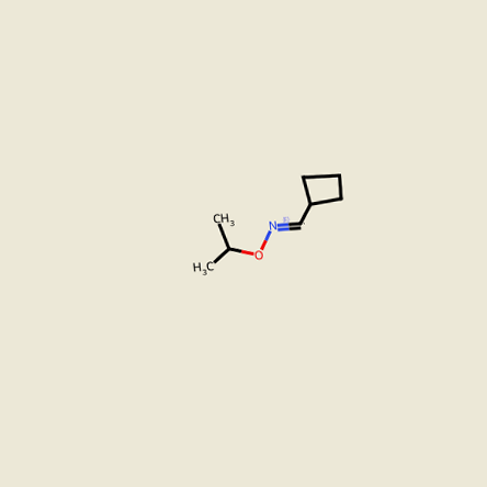 CC(C)O/N=[C]/C1CCC1